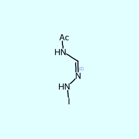 CC(=O)N/C=N\NI